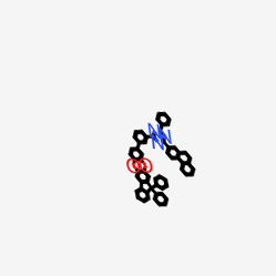 c1ccc(-c2nc(-c3cccc(-c4ccc5c(c4)Oc4cc6c(cc4O5)-c4ccccc4C6(c4ccccc4)c4ccccc4)c3)nc(-c3ccc4c(ccc5ccccc54)c3)n2)cc1